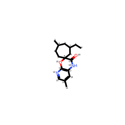 CCC1CC(C)CCC2(C1)Oc1ncc(C)cc1NC2=O